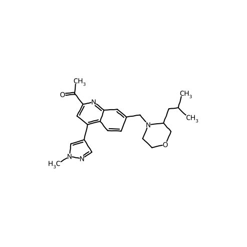 CC(=O)c1cc(-c2cnn(C)c2)c2ccc(CN3CCOCC3CC(C)C)cc2n1